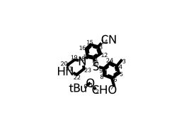 CC(C)(C)OC=O.Cc1cc(C)cc(Sc2cc(C#N)ccc2N2CCNCC2)c1